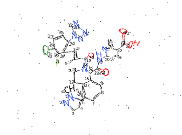 Cn1nccc1-c1cccc2c1CCN(C(=O)/C=C/c1c(-n3cnnn3)ccc(Cl)c1F)C2C(=O)Nc1ccc(C(=O)O)cn1